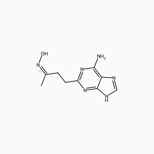 C/C(CCc1nc(N)c2nc[nH]c2n1)=N/O